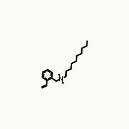 C=Cc1ccccc1C[N+](C)(C)CCCCCCCCCC